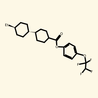 CC[C@H]1CC[C@H](C2CCC(C(=O)Oc3ccc(OC(F)(F)C(F)F)cc3)CC2)CC1